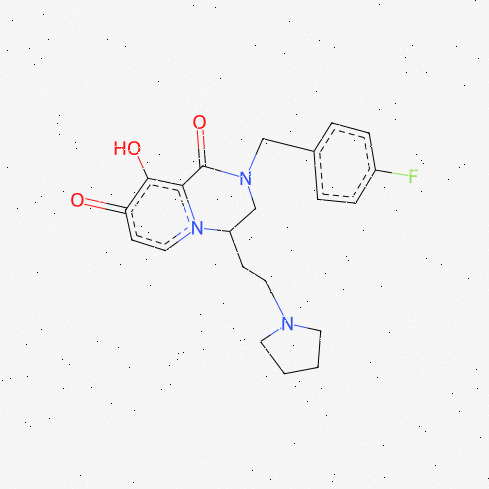 O=C1c2c(O)c(=O)ccn2C(CCN2CCCC2)CN1Cc1ccc(F)cc1